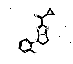 O=C(c1nc2n(n1)[C@H](c1ccccc1F)CC2)C1CC1